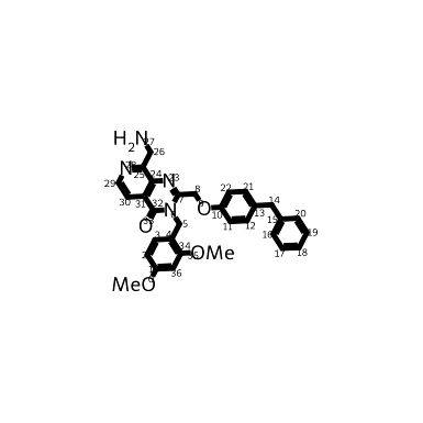 COc1ccc(Cn2c(COc3ccc(Cc4ccccc4)cc3)nc3c(CN)nccc3c2=O)c(OC)c1